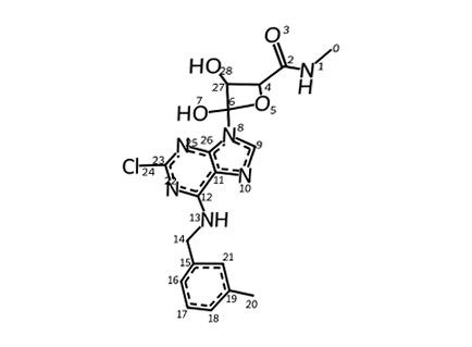 CNC(=O)C1OC(O)(n2cnc3c(NCc4cccc(C)c4)nc(Cl)nc32)C1O